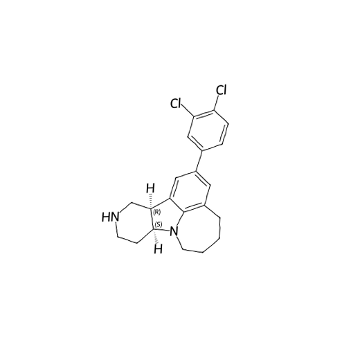 Clc1ccc(-c2cc3c4c(c2)[C@@H]2CNCC[C@@H]2N4CCCC3)cc1Cl